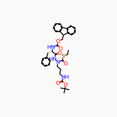 CCSC(=O)N(CCCNC(=O)OC(C)(C)C)NC(=O)[C@H](Cc1ccccc1)NC(=O)OCC1c2ccccc2-c2ccccc21